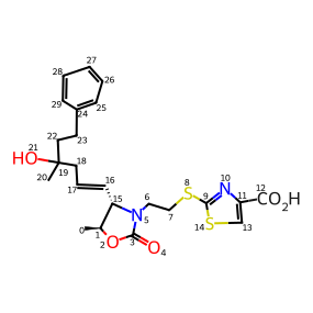 C[C@@H]1OC(=O)N(CCSc2nc(C(=O)O)cs2)[C@H]1/C=C/CC(C)(O)CCc1ccccc1